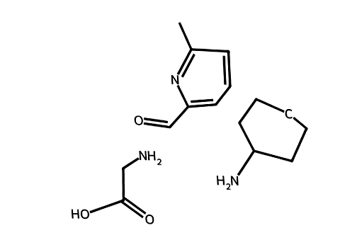 Cc1cccc(C=O)n1.NC1CCCCC1.NCC(=O)O